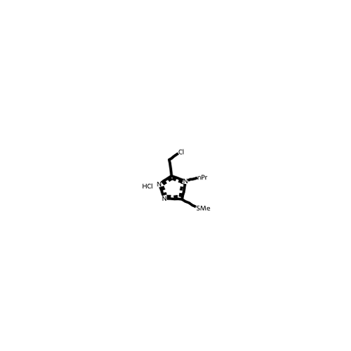 CCCn1c(CCl)nnc1SC.Cl